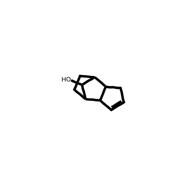 OC1C2CCC1C1CC=CC21